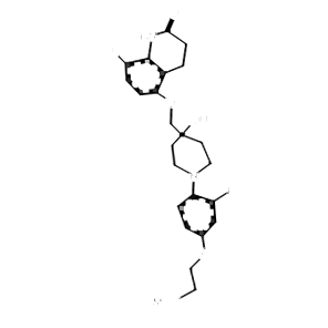 COCCOc1ccc(N2CCC(O)(COc3ccc(F)c4c3CCC(=O)N4)CC2)c(F)c1